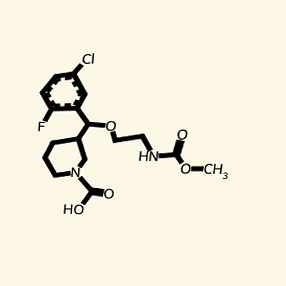 COC(=O)NCCOC(c1cc(Cl)ccc1F)C1CCCN(C(=O)O)C1